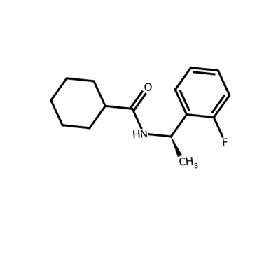 C[C@@H](NC(=O)C1CCCCC1)c1ccccc1F